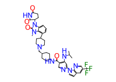 CC(C)Nc1cc(-n2ccc3cc(C(F)(F)F)cnc32)ncc1C(=O)N[C@H]1CC[C@H](CN2CCC(c3cccc4c3n(C)c(=O)n4C3CCC(=O)NC3=O)CC2)CC1